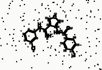 N=C(Nc1cccc(Cl)c1)c1nonc1NC(=O)c1ccc(I)cc1